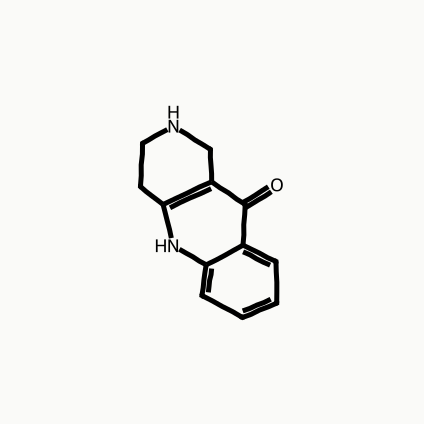 O=c1c2c([nH]c3ccccc13)CCNC2